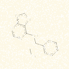 OC[C@H](Nc1ncnc2[nH]cnc12)c1ccccc1